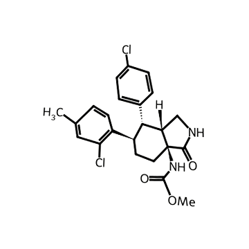 COC(=O)N[C@@]12CC[C@@H](c3ccc(C)cc3Cl)[C@H](c3ccc(Cl)cc3)[C@@H]1CNC2=O